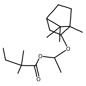 CCC(C)(C)C(=O)OC(C)OC1CC2CCC1(C)C2(C)C